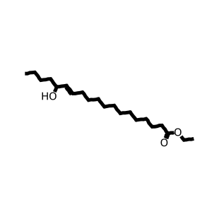 CCCCC(O)C=CCCCCCCCCCCCC(=O)OCC